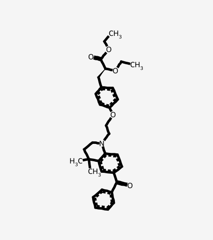 CCOC(=O)[C@H](Cc1ccc(OCCN2CCC(C)(C)c3cc(C(=O)c4ccccc4)ccc32)cc1)OCC